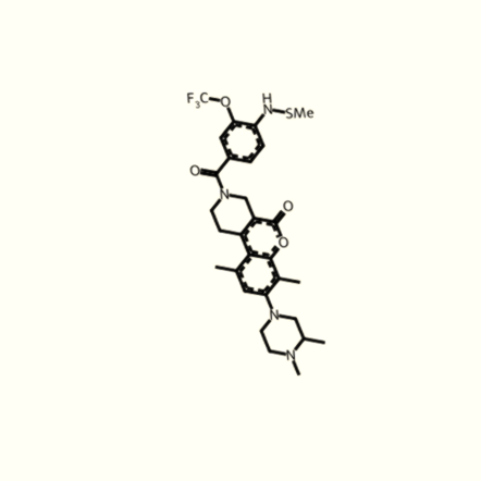 CSNc1ccc(C(=O)N2CCc3c(c(=O)oc4c(C)c(N5CCN(C)C(C)C5)cc(C)c34)C2)cc1OC(F)(F)F